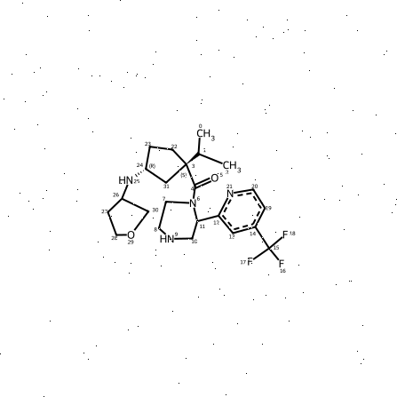 CC(C)[C@]1(C(=O)N2CCNCC2c2cc(C(F)(F)F)ccn2)CC[C@@H](NC2CCOC2)C1